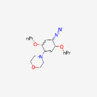 CCCOC1=CC(=[N+]=[N-])C(OCCC)C=C1N1CCOCC1